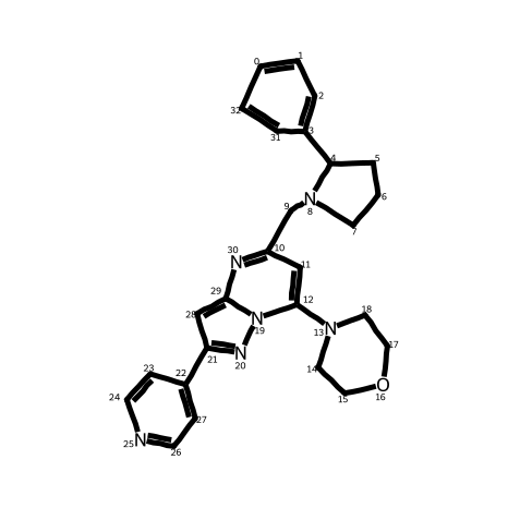 c1ccc(C2CCCN2Cc2cc(N3CCOCC3)n3nc(-c4ccncc4)cc3n2)cc1